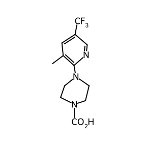 Cc1cc(C(F)(F)F)cnc1N1CCN(C(=O)O)CC1